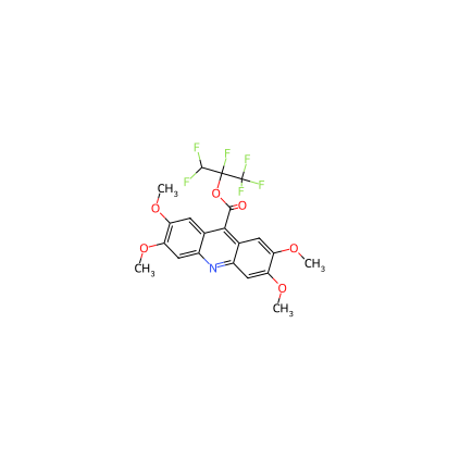 COc1cc2nc3cc(OC)c(OC)cc3c(C(=O)OC(F)(C(F)F)C(F)(F)F)c2cc1OC